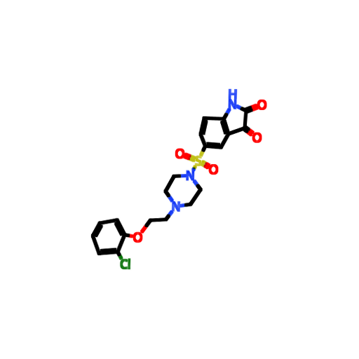 O=C1Nc2ccc(S(=O)(=O)N3CCN(CCOc4ccccc4Cl)CC3)cc2C1=O